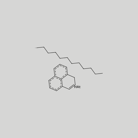 C1=Cc2cccc3cccc(c23)C1.[AtH].[CH2]CCCCCCCCCCC